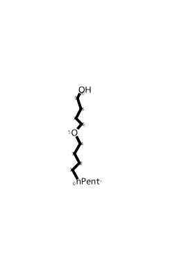 CCCC[CH]CCCCOCCCCO